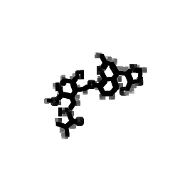 COc1ncc(Cl)c(COc2cccc3c(-c4ncsc4Cl)cc(C)nc23)c1CNC(=O)C(C)C